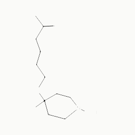 CC(O)CCCCOC1(C)CCN(C(=O)O)CC1